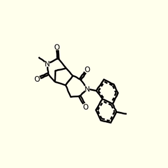 Cc1cccc2c(N3C(=O)CC4C5CC(C(=O)N(C)C5=O)C4C3=O)cccc12